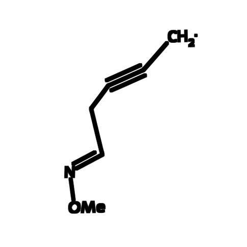 [CH2]C#CC/C=N/OC